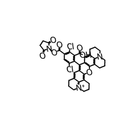 O=C(ON1C(=O)CCC1=O)c1cc(Cl)c(C2=c3cc4c5c(c3Oc3c2cc2c6c3CCCN6CCC2)CCC[N+]=5CCC4)c(C(=O)O)c1Cl